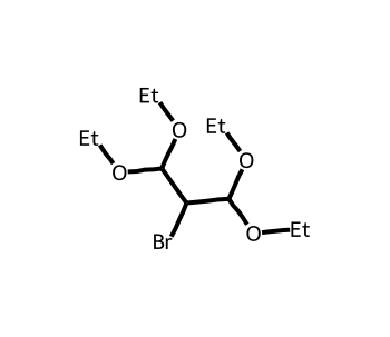 CCOC(OCC)C(Br)C(OCC)OCC